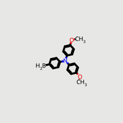 Bc1ccc(N(c2ccc(OC)cc2)c2ccc(OC)cc2)cc1